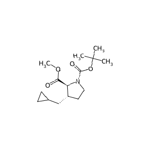 COC(=O)[C@@H]1[C@@H](CC2CC2)CCN1C(=O)OC(C)(C)C